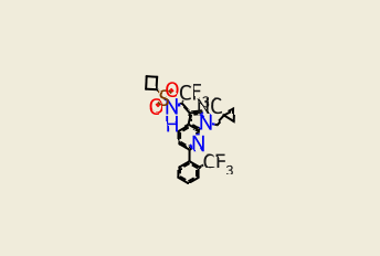 N#CC1(Cn2cc([C@H](NS(=O)(=O)C3CCC3)C(F)(F)F)c3ccc(-c4ccccc4C(F)(F)F)nc32)CC1